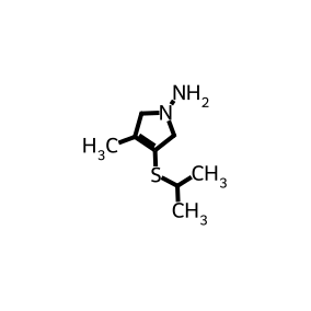 CC1=C(SC(C)C)CN(N)C1